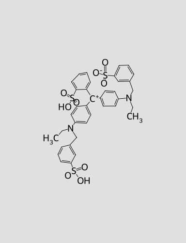 CCN(Cc1cccc(S(=O)(=O)[O-])c1)c1ccc([C+](c2ccc(N(CC)Cc3cccc(S(=O)(=O)O)c3)cc2)c2ccccc2S(=O)(=O)O)cc1